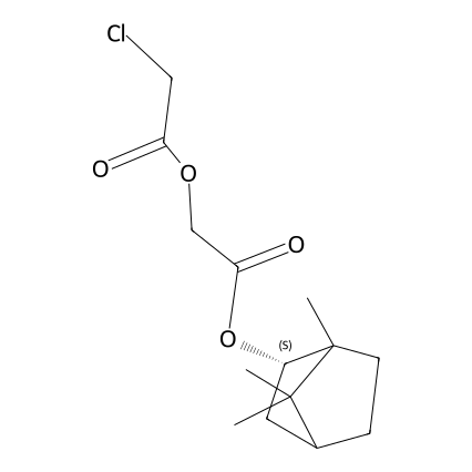 CC1(C)C2CCC1(C)[C@@H](OC(=O)COC(=O)CCl)C2